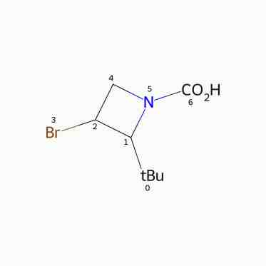 CC(C)(C)C1C(Br)CN1C(=O)O